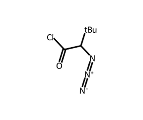 CC(C)(C)C(N=[N+]=[N-])C(=O)Cl